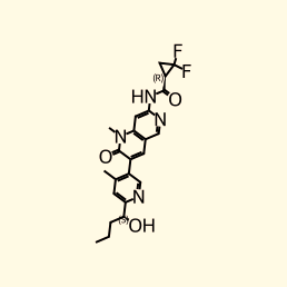 CCC[C@H](O)c1cc(C)c(-c2cc3cnc(NC(=O)[C@H]4CC4(F)F)cc3n(C)c2=O)cn1